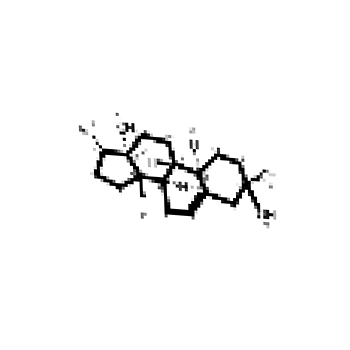 CC(=O)[C@H]1CC[C@H]2[C@@H]3CC=C4C[C@@](C)(O)CC[C@@H]4[C@H]3CC[C@]12C